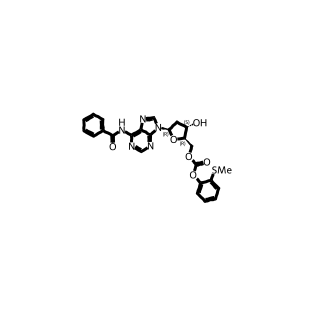 CSc1ccccc1OC(=O)OC[C@H]1O[C@@H](n2cnc3c(NC(=O)c4ccccc4)ncnc32)C[C@@H]1O